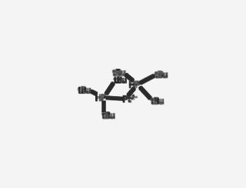 CC(C)(C)[PH]([Pt-2][PH](C(C)(C)C)(C(C)(C)C)C(C)(C)C)(C(C)(C)C)C(C)(C)C